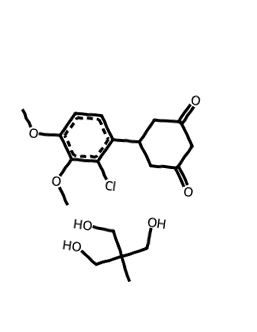 CC(CO)(CO)CO.COc1ccc(C2CC(=O)CC(=O)C2)c(Cl)c1OC